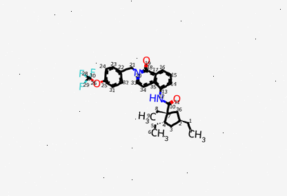 CC[C@H]1C[C@H](CC)[C@](CC)(C(=O)Nc2cccc3c(=O)n(Cc4ccc(OC(F)(F)F)cc4)ccc23)C1